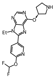 CCn1c(-c2ccc(OC(F)F)nc2)nc2c(O[C@H]3CCNC3)ncnc21